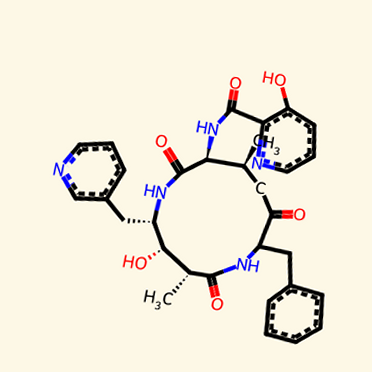 C[C@H]1CC(=O)C(Cc2ccccc2)NC(=O)[C@H](C)[C@H](O)[C@H](Cc2cccnc2)NC(=O)[C@H]1NC(=O)c1ncccc1O